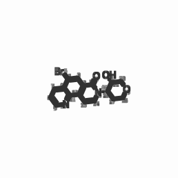 O=c1c2cc(Br)c3cccnc3c2ccn1[C@H]1CCOC[C@@H]1O